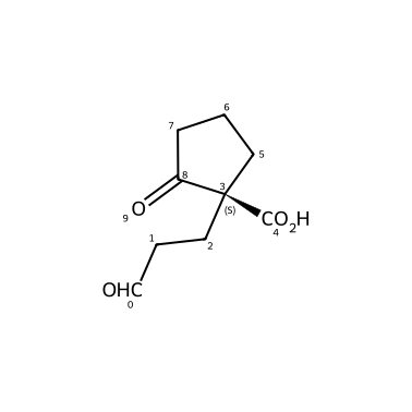 O=CCC[C@@]1(C(=O)O)CCCC1=O